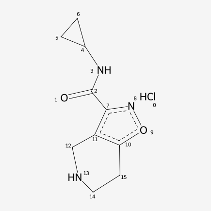 Cl.O=C(NC1CC1)c1noc2c1CNCC2